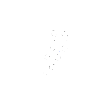 Cc1cc2c3c(c1)N(c1ccc(C(C)(C)C)cc1)c1c(ccc4c1OCO4)B3c1ccc(-c3cc4ccccc4s3)cc1N2c1cccc(-c2cc3ccccc3s2)c1